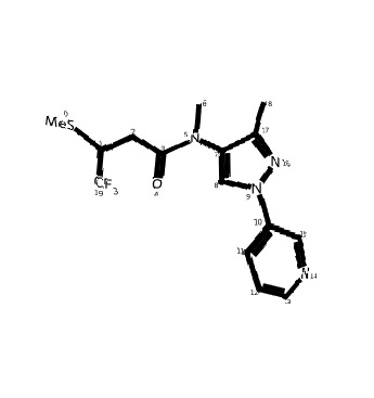 CSC(CC(=O)N(C)c1cn(-c2cccnc2)nc1C)C(F)(F)F